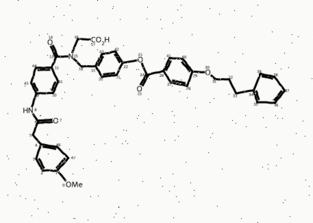 COc1ccc(CC(=O)Nc2ccc(C(=O)N(CC(=O)O)Cc3ccc(OC(=O)c4ccc(OCCCc5ccccc5)cc4)cc3)cc2)cc1